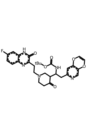 CC(C)(C)OC(=O)NC(Cc1cc2c(cn1)OC=CO2)C1CN(CCc2nc3ccc(F)cc3[nH]c2=O)CCC1=O